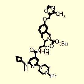 Cc1ncoc1COc1ccc2c(c1)CN(C(=O)OC(C)(C)C)[C@H]([C@H](O)CNC(=O)c1cc(NC3CCC3)nc(N3CCN(C(C)C)CC3)c1)C2